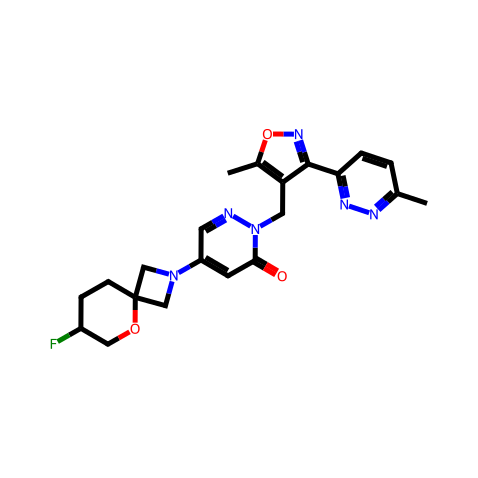 Cc1ccc(-c2noc(C)c2Cn2ncc(N3CC4(CCC(F)CO4)C3)cc2=O)nn1